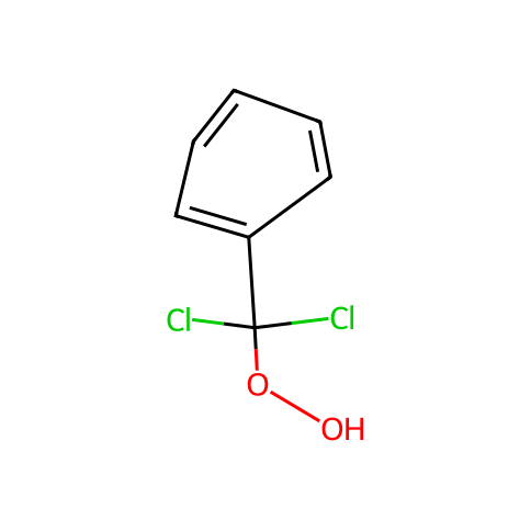 OOC(Cl)(Cl)c1ccccc1